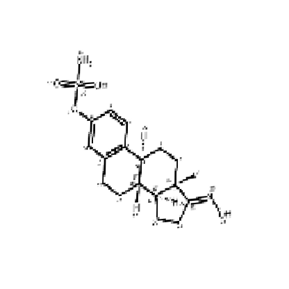 C[C@]12CC[C@@H]3c4ccc(OS(N)(=O)=O)cc4CC[C@H]3[C@@H]1CCC2=NO